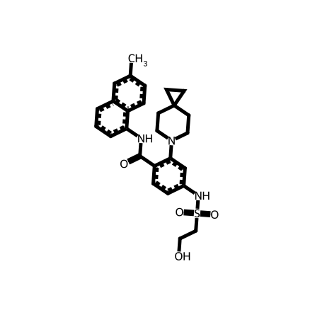 Cc1ccc2c(NC(=O)c3ccc(NS(=O)(=O)CCO)cc3N3CCC4(CC3)CC4)cccc2c1